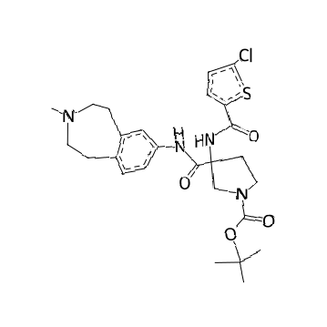 CN1CCc2ccc(NC(=O)C3(NC(=O)c4ccc(Cl)s4)CCN(C(=O)OC(C)(C)C)C3)cc2CC1